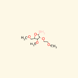 B[C@@H]1O[C@H](COC)C(OC)[C@H]1OCCOC